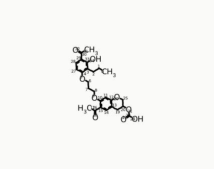 CCCc1c(OCCCOc2cc3c(cc2C(C)=O)CC(OC(=O)O)CO3)ccc(C(C)=O)c1O